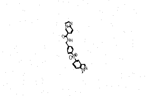 Cn1ncc2cc(S(=O)(=O)c3ccc(CNC(=O)c4ccc5nccn5c4)cc3)ccc21